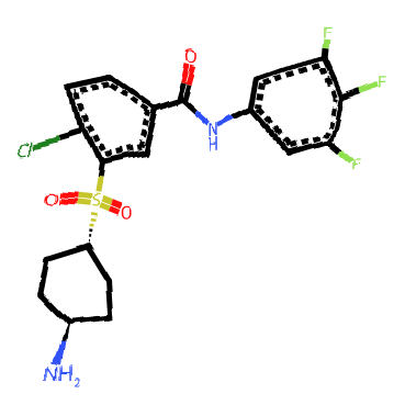 N[C@H]1CC[C@H](S(=O)(=O)c2cc(C(=O)Nc3cc(F)c(F)c(F)c3)ccc2Cl)CC1